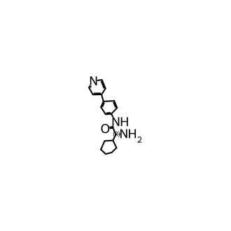 N[C@@H](C(=O)Nc1ccc(-c2ccncc2)cc1)C1CCCCC1